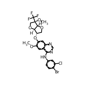 COc1cc2c(Nc3ccc(Br)c(Cl)c3)ncnc2cc1O[C@H]1CO[C@H]2[C@@H]1OC[C@]2(OC)C(F)(F)F